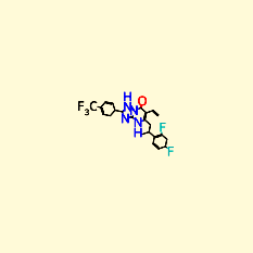 C=CC1=C(CC(C)C2=C(F)CC(F)C=C2)NC2=NC(C3C=CC(C(F)(F)F)=CC3)NN2C1=O